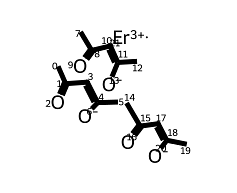 CC(=O)/C=C(/C)[O-].CC(=O)/C=C(/C)[O-].CC(=O)/C=C(/C)[O-].[Er+3]